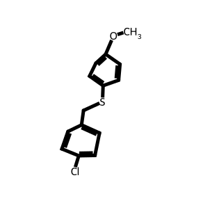 COc1ccc(SCc2ccc(Cl)cc2)cc1